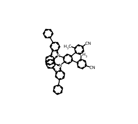 Cc1cc(C#N)ccc1-c1cc(-n2c3ccccc3c3cc(-c4ccccc4)ccc32)c(-n2c3ccccc3c3cc(-c4ccccc4)ccc32)cc1-c1ccc(C#N)cc1C